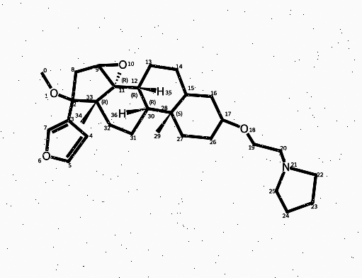 COC1(c2ccoc2)CC2O[C@@]23[C@@H]2CCC4CC(OCCN5CCCC5)CC[C@]4(C)[C@@H]2CC[C@]13C